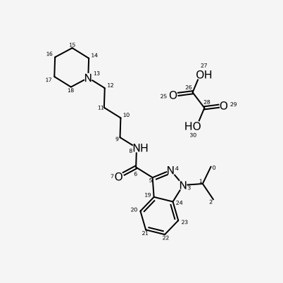 CC(C)n1nc(C(=O)NCCCCN2CCCCC2)c2ccccc21.O=C(O)C(=O)O